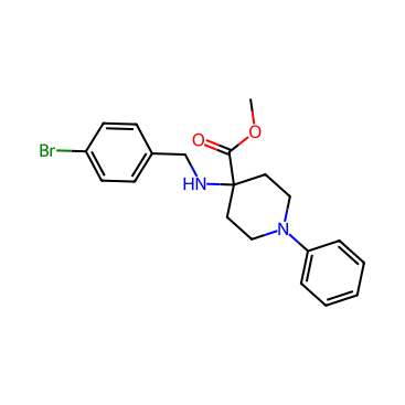 COC(=O)C1(NCc2ccc(Br)cc2)CCN(c2ccccc2)CC1